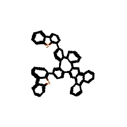 c1ccc2c(c1)-c1cc(-c3cccc4c3sc3ccccc34)ccc1-c1cc(-c3cccc4c3sc3ccccc34)ccc1-c1cc3c4ccccc4c4ccccc4c3cc1-2